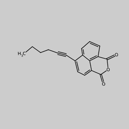 CCCCC#Cc1ccc2c3c(cccc13)C(=O)OC2=O